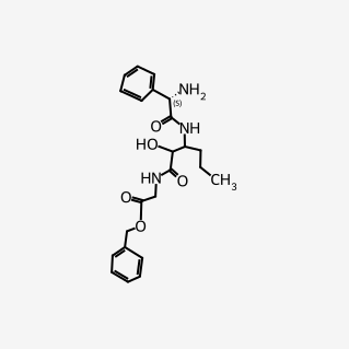 CCCC(NC(=O)[C@@H](N)c1ccccc1)C(O)C(=O)NCC(=O)OCc1ccccc1